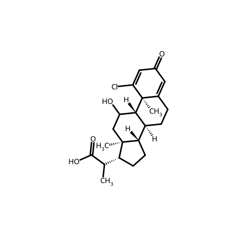 CC(C(=O)O)[C@H]1CC[C@H]2[C@@H]3CCC4=CC(=O)C=C(Cl)[C@]4(C)[C@H]3C(O)C[C@]12C